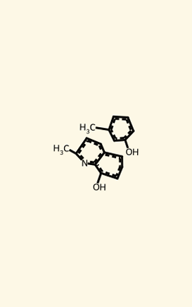 Cc1ccc2cccc(O)c2n1.Cc1cccc(O)c1